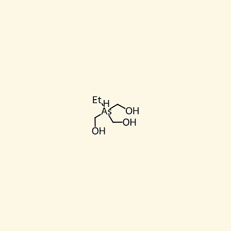 CC[AsH](CO)(CO)CO